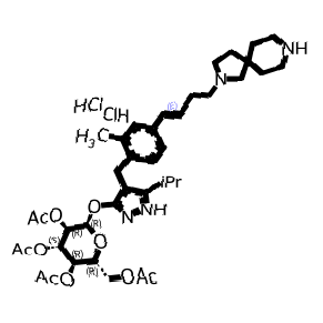 CC(=O)OC[C@H]1O[C@H](Oc2n[nH]c(C(C)C)c2Cc2ccc(/C=C/CCN3CCC4(CCNCC4)C3)cc2C)[C@H](OC(C)=O)[C@@H](OC(C)=O)[C@@H]1OC(C)=O.Cl.Cl